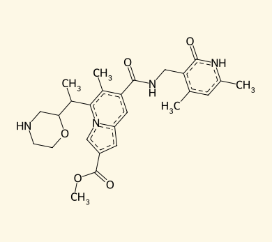 COC(=O)c1cc2cc(C(=O)NCc3c(C)cc(C)[nH]c3=O)c(C)c(C(C)C3CNCCO3)n2c1